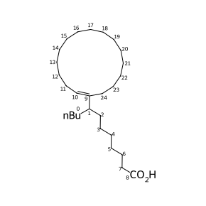 CCCCC(CCCCCCC(=O)O)C1=CCCCCCCCCCCCCCC1